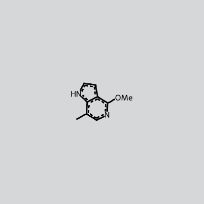 COc1ncc(C)c2[nH]ccc12